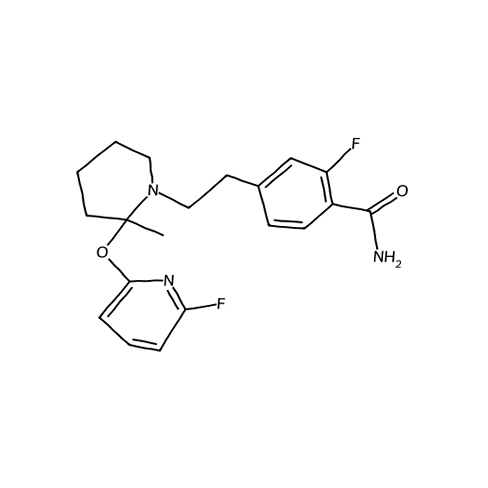 CC1(Oc2cccc(F)n2)CCCCN1CCc1ccc(C(N)=O)c(F)c1